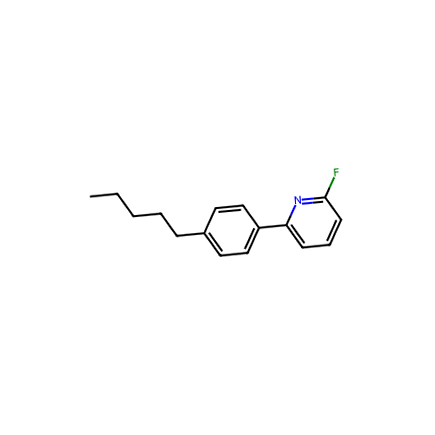 CCCCCc1ccc(-c2cccc(F)n2)cc1